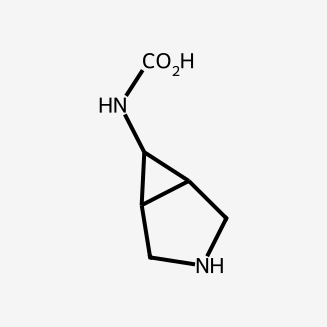 O=C(O)NC1C2CNCC21